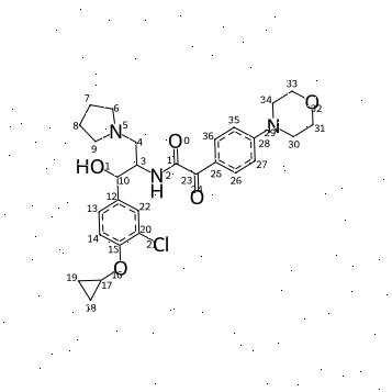 O=C(NC(CN1CCCC1)C(O)c1ccc(OC2CC2)c(Cl)c1)C(=O)c1ccc(N2CCOCC2)cc1